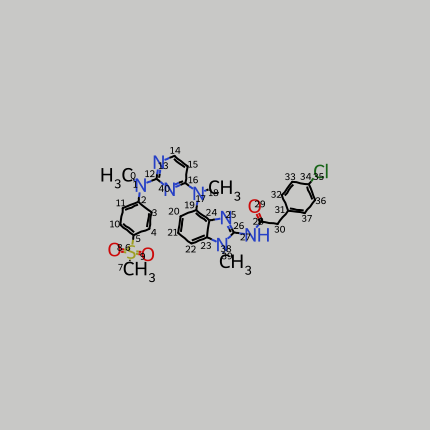 CN(c1ccc(S(C)(=O)=O)cc1)c1nccc(N(C)c2cccc3c2nc(NC(=O)Cc2ccc(Cl)cc2)n3C)n1